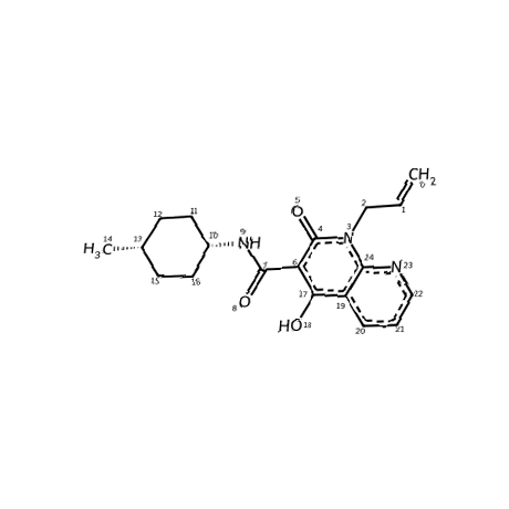 C=CCn1c(=O)c(C(=O)N[C@H]2CC[C@@H](C)CC2)c(O)c2cccnc21